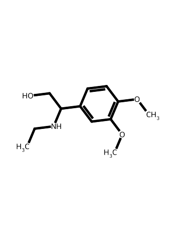 CCNC(CO)c1ccc(OC)c(OC)c1